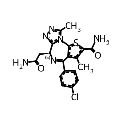 Cc1c(C(N)=O)sc2c1C(c1ccc(Cl)cc1)=N[C@@H](CC(N)=O)c1nnc(C)n1-2